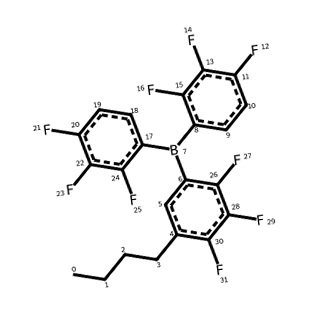 CCCCc1cc(B(c2ccc(F)c(F)c2F)c2ccc(F)c(F)c2F)c(F)c(F)c1F